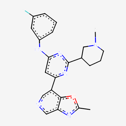 CC(=O)N1CCCC(c2nc(Nc3cccc(F)c3)cc(-c3cncc4nc(C)oc34)n2)C1